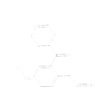 C=CCc1ccccc1C(=O)c1ccccc1.CCC